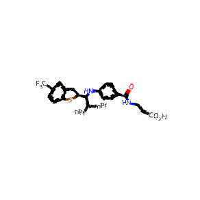 CCCC(CCC)C(Nc1ccc(C(=O)NCCC(=O)O)cc1)C1Cc2cc(C(F)(F)F)ccc2S1